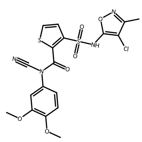 COc1ccc(N(C#N)C(=O)c2sccc2S(=O)(=O)Nc2onc(C)c2Cl)cc1OC